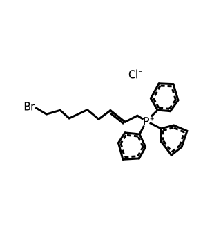 BrCCCCCC=CC[P+](c1ccccc1)(c1ccccc1)c1ccccc1.[Cl-]